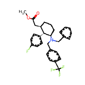 COC(=O)C[C@H]1CCC[C@@H](N(Cc2ccccc2)Cc2ccc(C(F)(F)F)cc2)[C@@H]1c1ccc(F)cc1